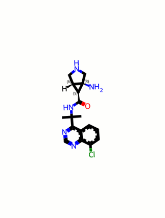 CC(C)(NC(=O)[C@H]1[C@@H]2CNC[C@@]21N)c1ncnc2c(Cl)cccc12